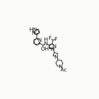 CC(=O)N1CCC(N2CC(n3cc(NC(O)c4cccc(-c5cc[nH]n5)n4)c(C(F)F)n3)C2)CC1